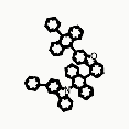 c1ccc(-c2ccc3c(c2)c2ccccc2n3-c2c3ccccc3c(-c3cccc4oc5cc(-c6c7ccccc7c(-c7ccccc7)c7ccccc67)ccc5c34)c3ccccc23)cc1